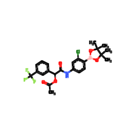 CC(=O)OC(C(=O)Nc1ccc(B2OC(C)(C)C(C)(C)O2)c(Cl)c1)c1cccc(C(F)(F)F)c1